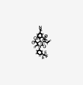 C=CCN1C(=O)N(c2cccc(C(F)(F)F)c2)C(C)=C(C(=O)O)[C@H]1c1ccc(C#N)cc1S(C)(=O)=O